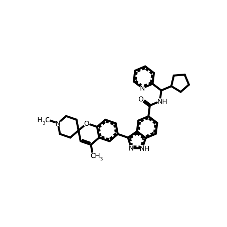 CC1=CC2(CCN(C)CC2)Oc2ccc(-c3n[nH]c4ccc(C(=O)NC(c5ccccn5)C5CCCC5)cc34)cc21